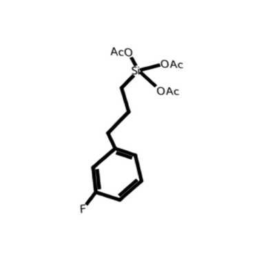 CC(=O)O[Si](CCCc1cccc(F)c1)(OC(C)=O)OC(C)=O